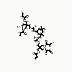 C=CC(=O)OCC(COC(=O)C=C)(COC(=O)C=C)COC(=O)NCC1(C)CC(NC(=O)OCC(COC(C)=O)(COC(=O)C=C)COC(=O)C=C)CC(C)(C)C1